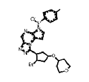 CCC1CC(OC2CCOCC2)CC1c1nnc2cnc3c(ccn3[S+]([O-])c3ccc(C)cc3)n12